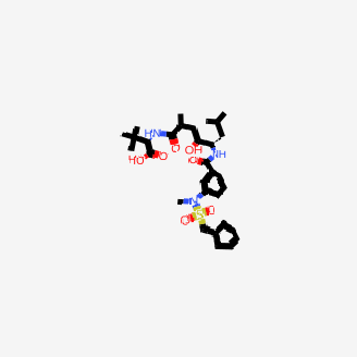 CC(C)C[C@H](NC(=O)c1cccc(N(C)S(=O)(=O)Cc2ccccc2)c1)C(O)CC(C)C(=O)N[C@H](C(=O)O)C(C)(C)C